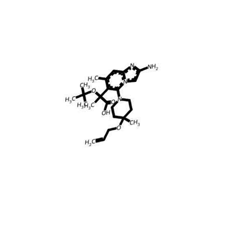 C=CCOC1(C)CCN(c2c(C(C)(OC(C)(C)C)C(=O)O)c(C)cc3nc(N)cn23)CC1